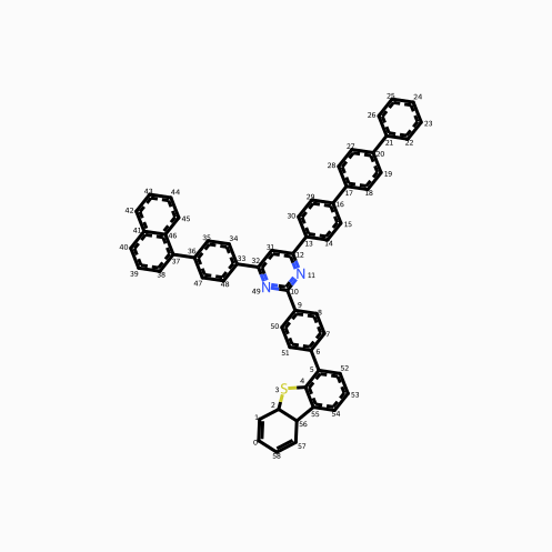 C1=CC2Sc3c(-c4ccc(-c5nc(-c6ccc(-c7ccc(-c8ccccc8)cc7)cc6)cc(-c6ccc(-c7cccc8ccccc78)cc6)n5)cc4)cccc3C2C=C1